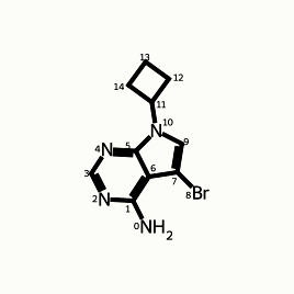 Nc1ncnc2c1c(Br)cn2C1CCC1